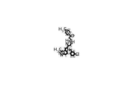 Cc1nnc2ccc3c(cc(C(=N)/C=C\NCCC(=O)N4CCN(C)CC4)n3Cc3cccc(Cl)c3)n12